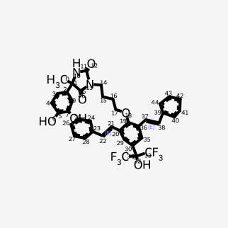 CC1(c2ccc(O)c(O)c2)NC(=O)N(CCCCOc2c(/C=C/c3ccccc3)cc(C(O)(C(F)(F)F)C(F)(F)F)cc2/C=C/c2ccccc2)C1=O